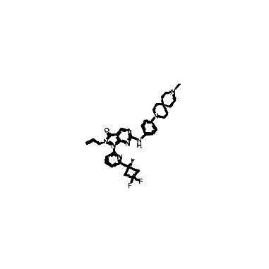 C=CCn1c(=O)c2cnc(Nc3ccc(N4CCC5(CCN(C)CC5)CC4)cc3)nc2n1-c1cccc(C2(F)CC(F)(F)C2)n1